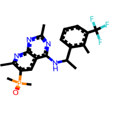 Cc1nc(NC(C)c2cccc(C(F)(F)F)c2C)c2cc(P(C)(C)=O)c(C)nc2n1